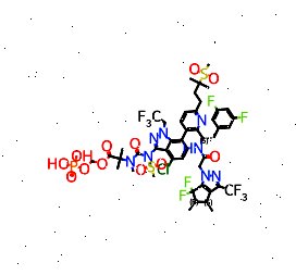 C[C@@H]1c2c(C(F)(F)F)nn(CC(=O)N[C@@H](Cc3cc(F)cc(F)c3)c3nc(CCC(C)(C)S(C)(=O)=O)ccc3-c3ccc(Cl)c4c(N(C(=O)N(C)C(C)(C)C(=O)OCOP(=O)(O)O)S(C)(=O)=O)nn(CC(F)(F)F)c34)c2C(F)(F)[C@@H]1C